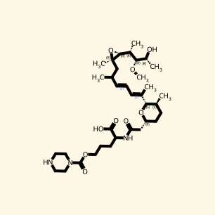 CO[C@H]([C@@H](C)[C@H]1O[C@]1(C)CC(C)/C=C/C=C(\C)[C@H]1O[C@@H](CC(=O)NC(CCCOC(=O)N2CCNCC2)C(=O)O)CC[C@@H]1C)[C@@H](C)O